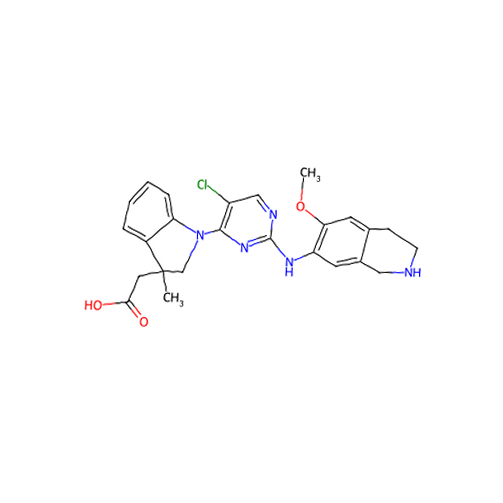 COc1cc2c(cc1Nc1ncc(Cl)c(N3CC(C)(CC(=O)O)c4ccccc43)n1)CNCC2